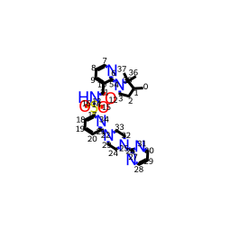 CC1CCN(c2ncccc2C(=O)NS(=O)(=O)c2cccc(N3CCN(c4ncccn4)CC3)n2)C1(C)C